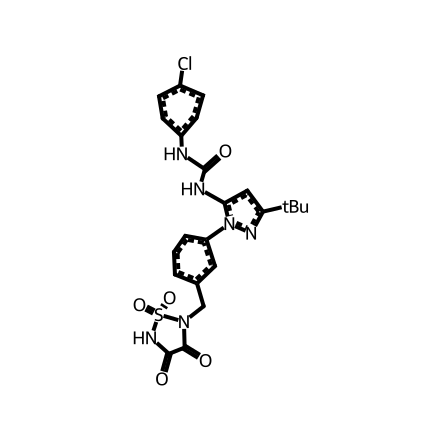 CC(C)(C)c1cc(NC(=O)Nc2ccc(Cl)cc2)n(-c2cccc(CN3C(=O)C(=O)NS3(=O)=O)c2)n1